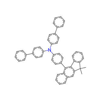 CC1(C)c2ccccc2-c2c1cc1ccccc1c2-c1ccc(N(c2ccc(-c3ccccc3)cc2)c2ccc(-c3ccccc3)cc2)cc1